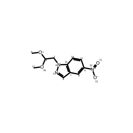 COC(Cn1ncc2cc([N+](=O)[O-])ccc21)OC